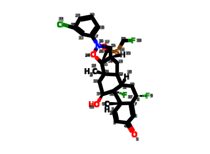 C[C@]12C=CC(=O)C=C1[C@@H](F)C[C@H]1C3C[C@H]4CN(c5cccc(Cl)c5)O[C@@]4(C(=O)SCF)[C@@]3(C)C[C@H](O)[C@@]12F